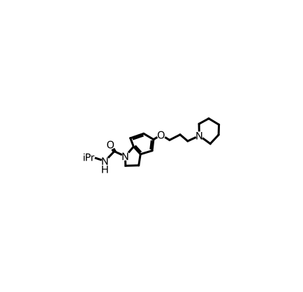 CC(C)NC(=O)N1CCc2cc(OCCCN3CCCCC3)ccc21